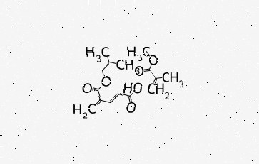 C=C(C)C(=O)OC.C=C(C=CC(=O)O)C(=O)OCC(C)C